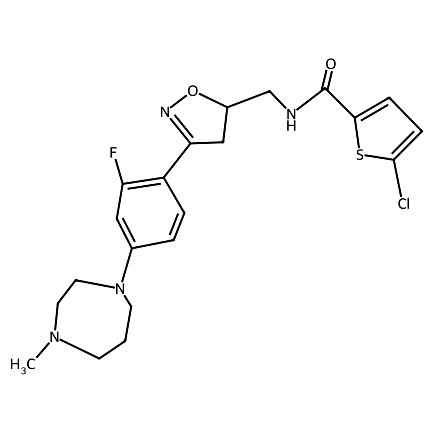 CN1CCCN(c2ccc(C3=NOC(CNC(=O)c4ccc(Cl)s4)C3)c(F)c2)CC1